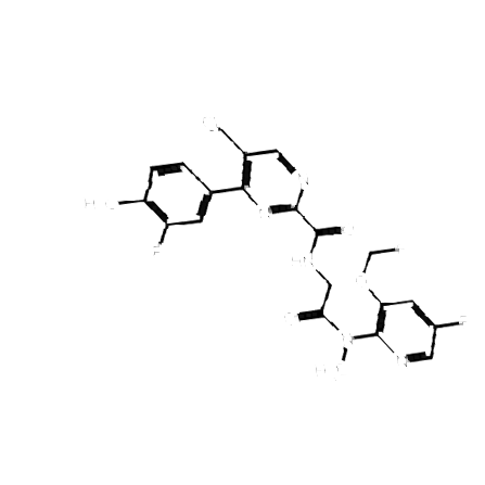 Cc1ccc(-c2nc(C(=O)NCC(=O)N(C)c3ncc(F)cc3OCF)ncc2Cl)cc1F